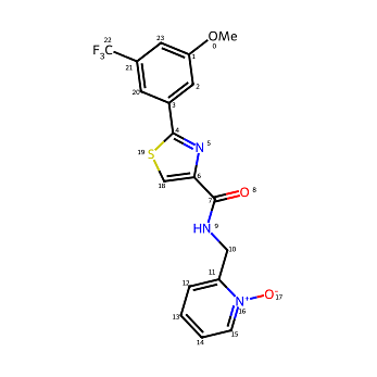 COc1cc(-c2nc(C(=O)NCc3cccc[n+]3[O-])cs2)cc(C(F)(F)F)c1